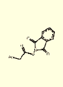 CC(=O)CC(=O)ON1C(=O)c2ccccc2C1=O